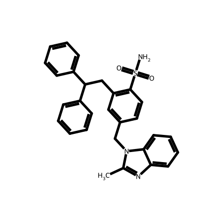 Cc1nc2ccccc2n1Cc1ccc(S(N)(=O)=O)c(CC(c2ccccc2)c2ccccc2)c1